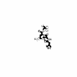 CC1C=C(C(=O)OCC(Cl)(Cl)Cl)N2C(=O)C(NC(=O)Cc3cnsn3)[C@H]2S1